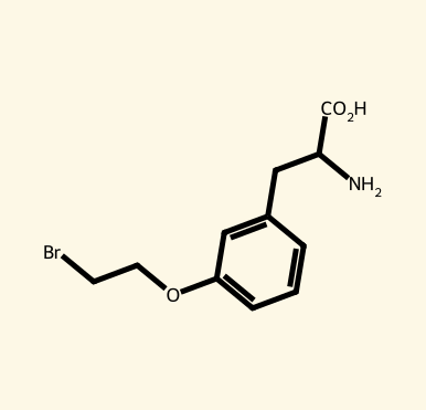 NC(Cc1cccc(OCCBr)c1)C(=O)O